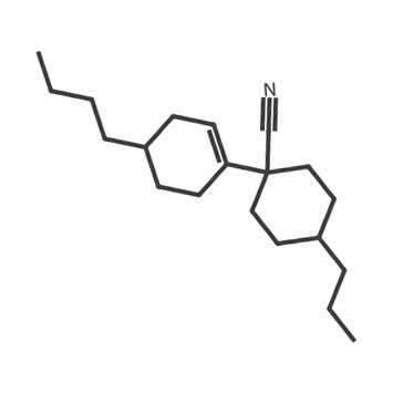 CCCCC1CC=C(C2(C#N)CCC(CCC)CC2)CC1